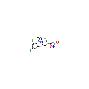 O=C(O)CN1CCC(c2cc(=O)[nH]o2)CC1Cc1cc(F)cc(F)c1